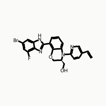 C=Cc1ccc(N2c3cccc(-c4nc5c(F)cc(Br)cc5[nH]4)c3OC[C@@H]2CO)nc1